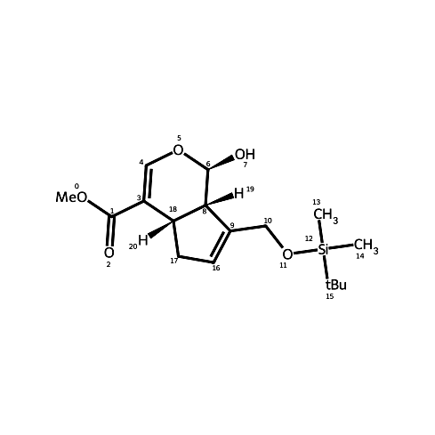 COC(=O)C1=CO[C@@H](O)[C@@H]2C(CO[Si](C)(C)C(C)(C)C)=CC[C@H]12